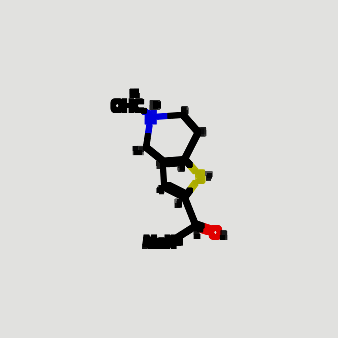 CNC(=O)c1cc2c(s1)CCN(C=O)C2